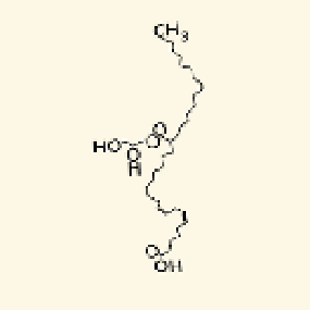 CCCCCCCC/C=C\CCCCCCC(CCCCC/C=C\C/C=C\C/C=C\CCCCC(=O)O)C(=O)OCC(O)CO